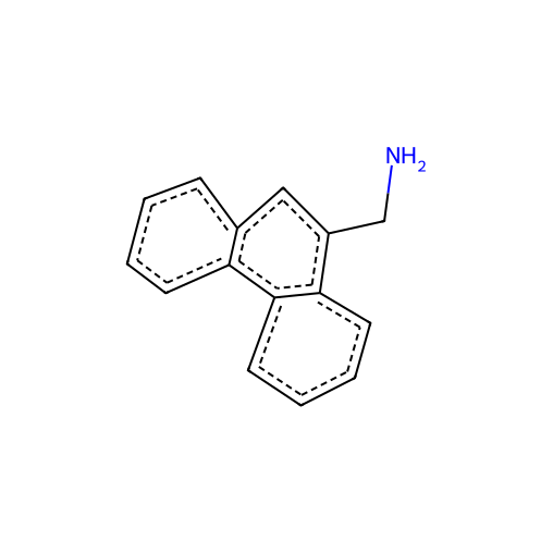 NCc1cc2ccccc2c2ccccc12